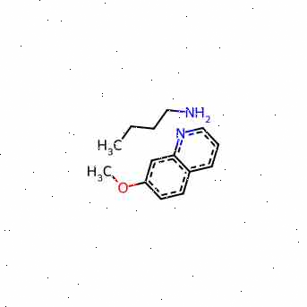 CCCCN.COc1ccc2cccnc2c1